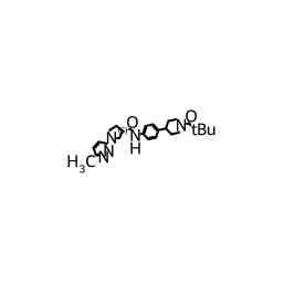 Cc1ccc(N2CC[C@H](C(=O)Nc3ccc(C4CCN(C(=O)C(C)(C)C)CC4)cc3)C2)nn1